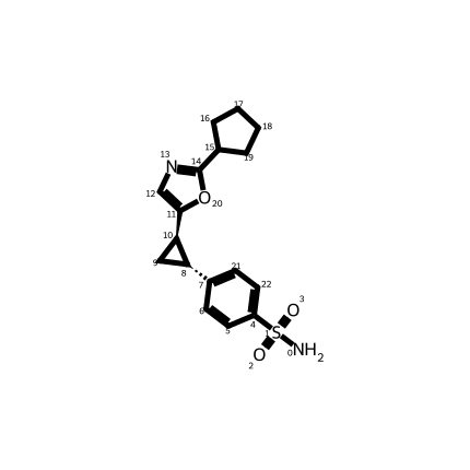 NS(=O)(=O)c1ccc([C@@H]2C[C@H]2c2cnc(C3CCCC3)o2)cc1